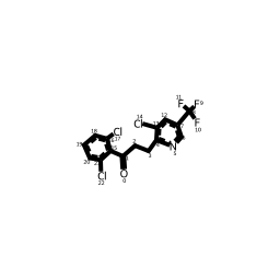 O=C(CCc1ncc(C(F)(F)F)cc1Cl)c1c(Cl)cccc1Cl